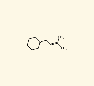 CC(C)=CCN1CCCCC1